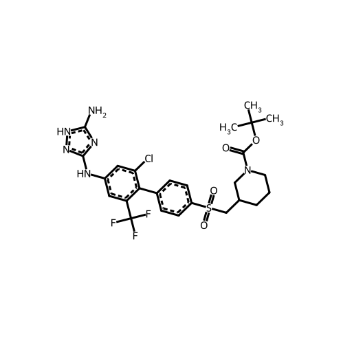 CC(C)(C)OC(=O)N1CCCC(CS(=O)(=O)c2ccc(-c3c(Cl)cc(Nc4n[nH]c(N)n4)cc3C(F)(F)F)cc2)C1